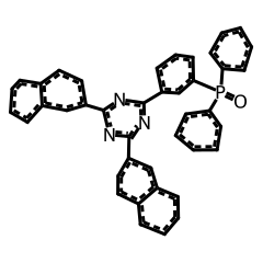 O=P(c1ccccc1)(c1ccccc1)c1cccc(-c2nc(-c3ccc4ccccc4c3)nc(-c3ccc4ccccc4c3)n2)c1